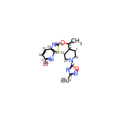 CCC(C)c1noc(N2CCC(C(C)Oc3nc4ccc(Br)nc4s3)CC2)n1